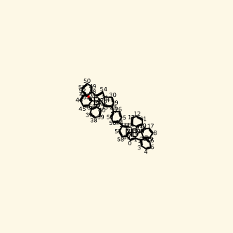 C1=C(c2ccccc2)[B-](c2ccccc2)(c2ccccc2)[n+]2cc(-c3ccc(-c4ccc5[n+](c4)[B-](c4ccccc4)(c4ccccc4)C(c4ccccc4)=C5)cc3)ccc21